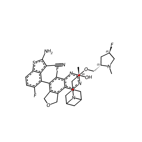 C[C@@H](O)CN1CC2CC(C1)N2c1nc(OC[C@@H]2C[C@@H](F)CN2C)nc2c(F)c(-c3c(F)ccc4sc(N)c(C#N)c34)c3c(c12)COC3